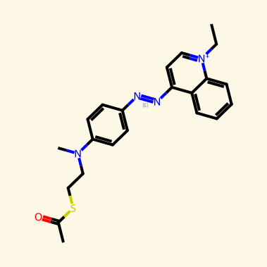 CC[n+]1ccc(/N=N/c2ccc(N(C)CCSC(C)=O)cc2)c2ccccc21